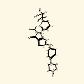 CC(C)n1c(=O)c2cnc(Nc3ccc(N4CCN(C)CC4)cc3)nc2n1-c1cccc(C(C)(C)C(F)(F)F)n1